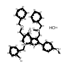 COc1ccc(-c2sc3c(c2CN(C)Cc2ccccc2)c(=O)c(COCc2ccccc2)cn3Cc2ccccc2F)cc1.Cl